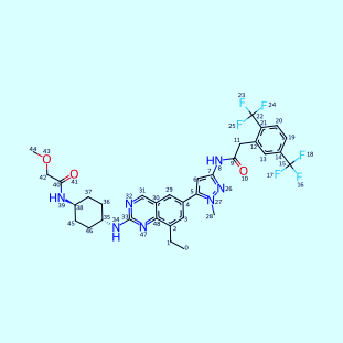 CCc1cc(-c2cc(NC(=O)Cc3cc(C(F)(F)F)ccc3C(F)(F)F)nn2C)cc2cnc(N[C@H]3CC[C@H](NC(=O)COC)CC3)nc12